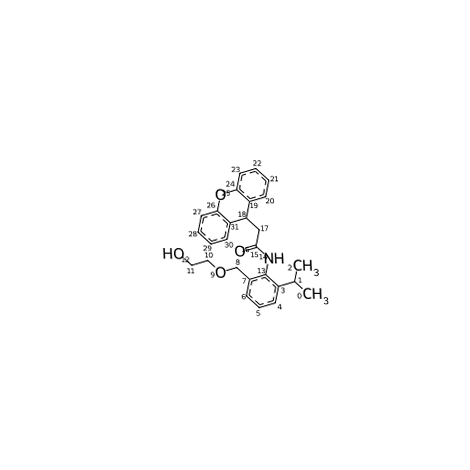 CC(C)c1cccc(COCCO)c1NC(=O)CC1c2ccccc2Oc2ccccc21